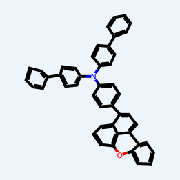 c1ccc(-c2ccc(N(c3ccc(-c4ccccc4)cc3)c3ccc(-c4ccc5c6c(cccc46)Oc4ccccc4-5)cc3)cc2)cc1